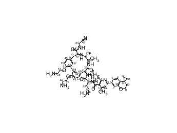 Cc1nc(-c2ccc3c(c2)OCCC32CC2)nc(C)c1C(=O)N[C@@H](CCN)C(=O)N(C)[C@@H]1C(=O)N[C@@H](C)C(=O)N[C@H](C(=O)NCC#N)Cc2ccc(OCCN)c(c2)-c2cc1ccc2OCCN